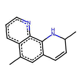 Cc1cc2c(c3ncccc13)NC(C)C=C2